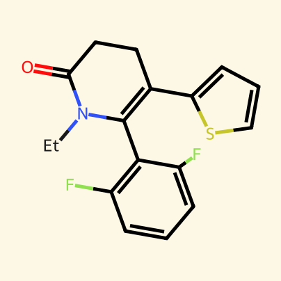 CCN1C(=O)CCC(c2cccs2)=C1c1c(F)cccc1F